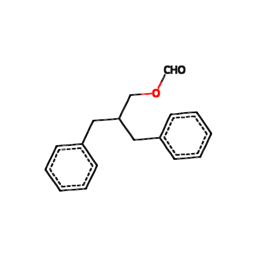 O=COCC(Cc1ccccc1)Cc1ccccc1